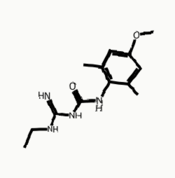 CCNC(=N)NC(=O)Nc1c(C)cc(OC)cc1C